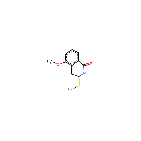 COc1cccc2c1CC(SC)NC2=O